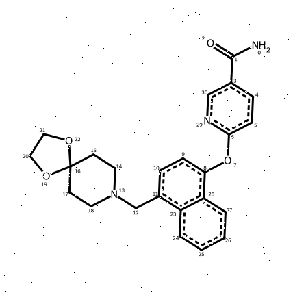 NC(=O)c1ccc(Oc2ccc(CN3CCC4(CC3)OCCO4)c3ccccc23)nc1